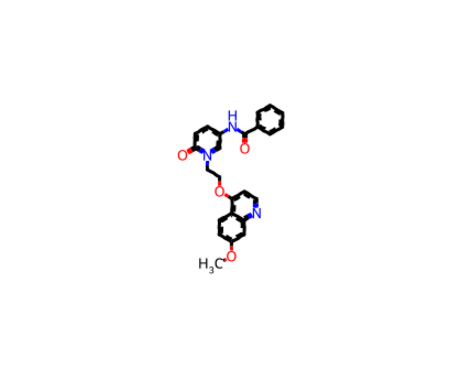 COc1ccc2c(OCCn3cc(NC(=O)c4ccccc4)ccc3=O)ccnc2c1